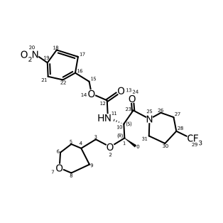 C[C@@H](OCC1CCOCC1)[C@H](NC(=O)OCc1ccc([N+](=O)[O-])cc1)C(=O)N1CCC(C(F)(F)F)CC1